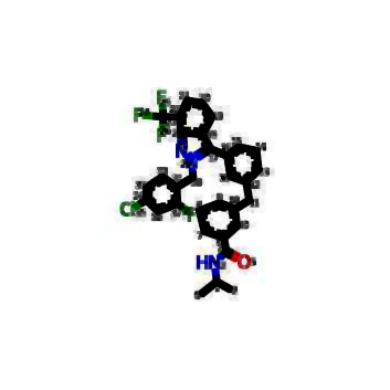 CC(C)NC(=O)c1cccc(Cc2cccc(-c3c4cccc(C(F)(F)F)c4nn3Cc3ccc(Cl)cc3F)c2)c1